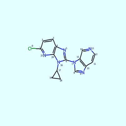 Clc1ccc2nc(-n3cnc4ccncc43)n(C3CC3)c2n1